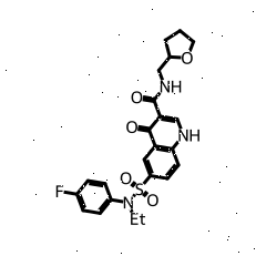 CCN(c1ccc(F)cc1)S(=O)(=O)c1ccc2[nH]cc(C(=O)NCC3CCCO3)c(=O)c2c1